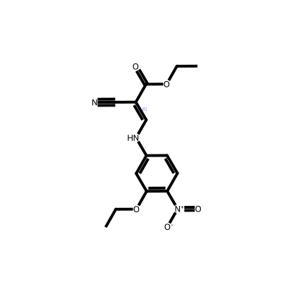 CCOC(=O)/C(C#N)=C/Nc1ccc([N+](=O)[O-])c(OCC)c1